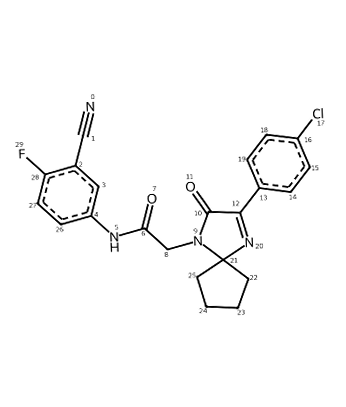 N#Cc1cc(NC(=O)CN2C(=O)C(c3ccc(Cl)cc3)=NC23CCCC3)ccc1F